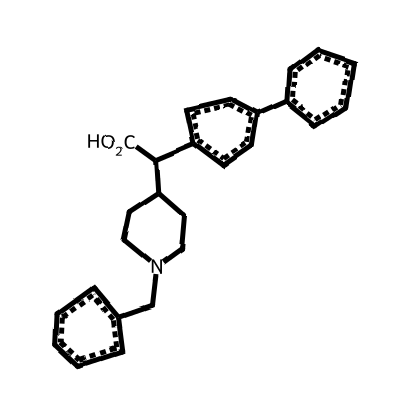 O=C(O)C(c1ccc(-c2ccccc2)cc1)C1CCN(Cc2ccccc2)CC1